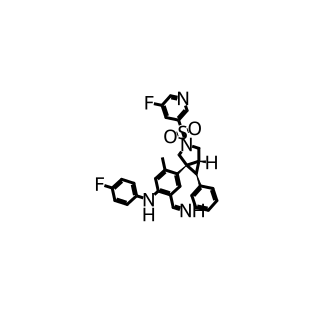 Cc1cc(Nc2ccc(F)cc2)c(C=N)cc1[C@@]12CN(S(=O)(=O)c3cncc(F)c3)C[C@@H]1[C@H]2c1ccccc1